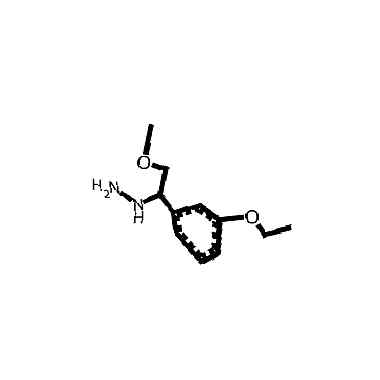 CCOc1cccc(C(COC)NN)c1